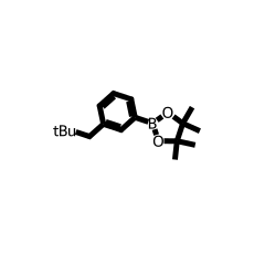 CC(C)(C)Cc1cccc(B2OC(C)(C)C(C)(C)O2)c1